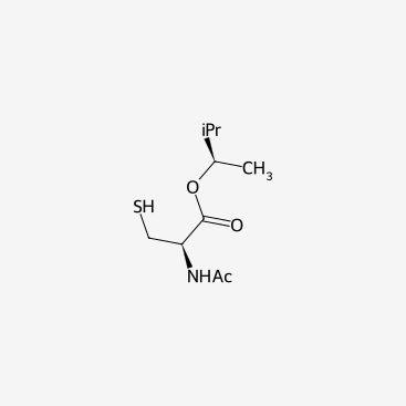 CC(=O)N[C@@H](CS)C(=O)O[C@H](C)C(C)C